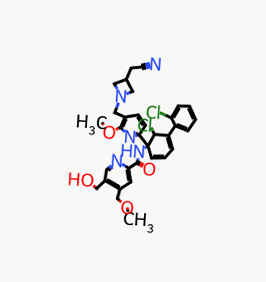 COCc1cc(C(=O)NC2(c3ccc(CN4CC(CC#N)C4)c(OC)n3)C=CC=C(c3ccccc3Cl)C2Cl)ncc1CO